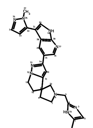 Cc1cnc(CN2CCC3(CCn4nc(-c5cnc6[nH]cc(-c7ccnn7C)c6c5)cc43)C2)[nH]1